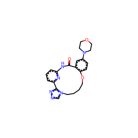 O=C1Nc2cccc(n2)-c2nncn2CCCCOc2ccc(N3CCOCC3)cc21